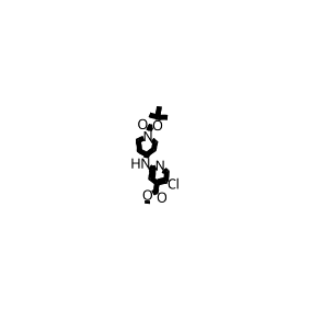 COC(=O)c1cc(NC2CCN(C(=O)OC(C)(C)C)CC2)ncc1Cl